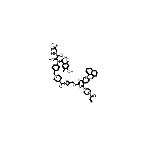 C=CC(=O)N1CCN(c2nc(OCC3CN(C(=O)C4CCN(Cc5ccc(N(C(=N)C(=O)NCC(F)(F)F)C(=N)c6cc(C)c(O)cc6O)cc5)CC4)C3)nc3c2CCN(c2cccc4cccc(Cl)c24)C3)CC1